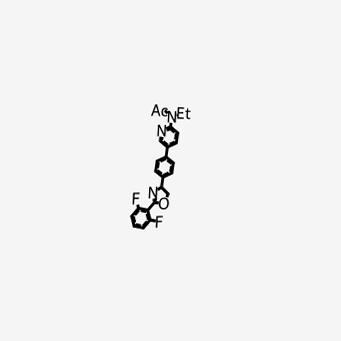 CCN(C(C)=O)c1ccc(-c2ccc(C3COC(c4c(F)cccc4F)=N3)cc2)cn1